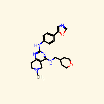 CN1CCc2nc(Nc3ccc(-c4cnco4)cc3)nc(NCC3CCOCC3)c2C1